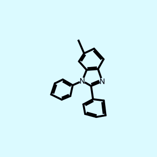 Cc1ccc2nc(-c3ccccc3)n(-c3ccccc3)c2c1